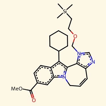 COC(=O)c1ccc2c(C3CCCCC3)c3n(c2c1)CC=Cc1ncn(COCC[Si](C)(C)C)c1-3